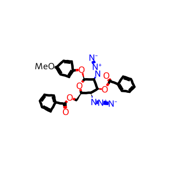 COc1ccc(O[C@@H]2O[C@H](COC(=O)c3ccccc3)[C@@H](N=[N+]=[N-])[C@H](OC(=O)c3ccccc3)[C@@H]2N=[N+]=[N-])cc1